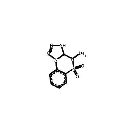 CN1C2NN=NN2c2ccccc2S1(=O)=O